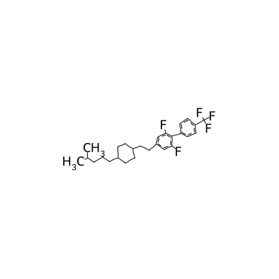 CC(C)CCCC1CCC(CCc2cc(F)c(-c3ccc(C(F)(F)F)cc3)c(F)c2)CC1